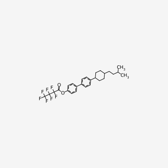 CC(C)CCC1CCC(c2ccc(-c3ccc(OC(=O)C(F)(F)C(F)(F)C(F)(F)F)cc3)cc2)CC1